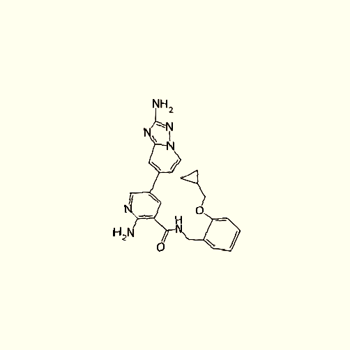 Nc1nc2cc(-c3cnc(N)c(C(=O)NCc4ccccc4OCC4CC4)c3)ccn2n1